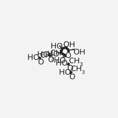 CC(=O)O.CC(=O)O.CC(=O)O.CC(=O)O.OC[C@H]1OC(O)[C@H](O)[C@@H](O)[C@H]1O